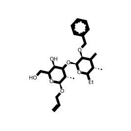 C=CCO[C@H]1OC(CO)[C@@H](O)C(O[C@@H]2OC(CC)[C@@H](C)C(C)[C@@H]2OCc2ccccc2)[C@@H]1C